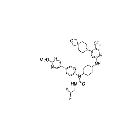 COc1ncc(-c2ccc(N(C(=O)NCC(F)F)C3CCC(Nc4ncc(C(F)(F)F)c(N5CCC6(CC5)COC6)n4)CC3)nc2)cn1